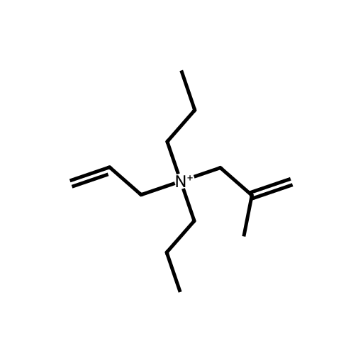 C=CC[N+](CCC)(CCC)CC(=C)C